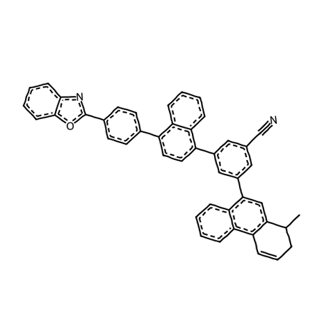 CC1CC=Cc2c1cc(-c1cc(C#N)cc(-c3ccc(-c4ccc(-c5nc6ccccc6o5)cc4)c4ccccc34)c1)c1ccccc21